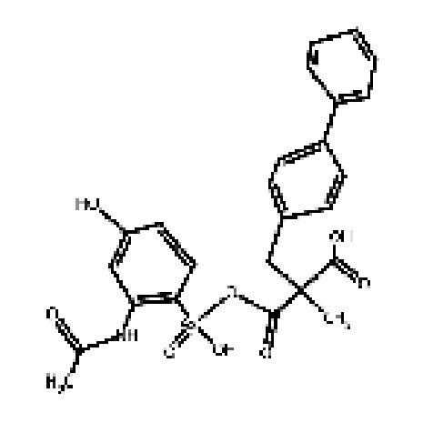 CC(=O)Nc1cc(O)ccc1[As](=O)(O)OC(=O)C(C)(Cc1ccc(-c2ccccc2)cc1)C(=O)O